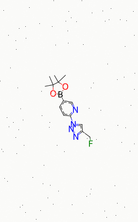 CC1(C)OB(c2ccc(-n3cc(CF)nn3)nc2)OC1(C)C